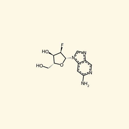 Nc1cc2c(cn1)ncn2[C@@H]1O[C@H](CO)[C@@H](O)[C@H]1F